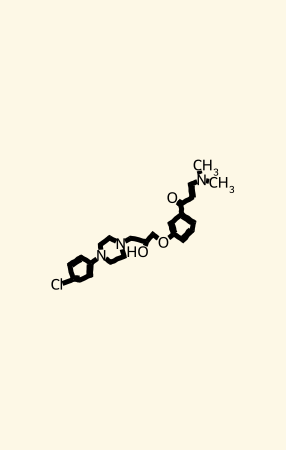 CN(C)C=CC(=O)c1cccc(OCC(O)CN2CCN(c3ccc(Cl)cc3)CC2)c1